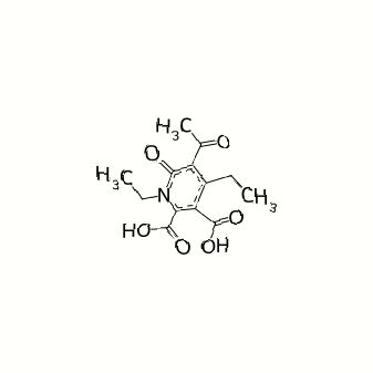 CCc1c(C(=O)O)c(C(=O)O)n(CC)c(=O)c1C(C)=O